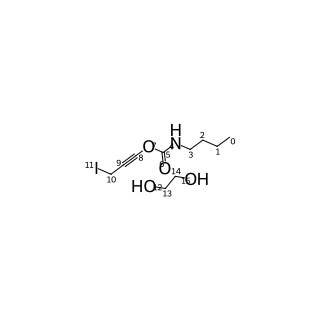 CCCCNC(=O)OC#CCI.OCCO